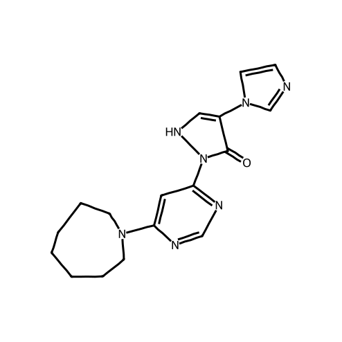 O=c1c(-n2ccnc2)c[nH]n1-c1cc(N2CCCCCCC2)ncn1